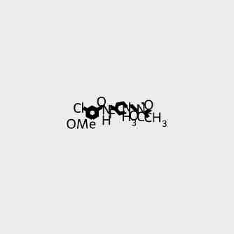 COc1cc(Cl)cc(C(=O)NCC2(F)CCN(CC(=O)N3COCC3(C)C)CC2)c1